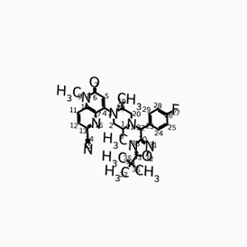 CC1CN(c2cc(=O)n(C)c3ccc(C#N)nc23)[C@@H](C)CN1C(c1ccc(F)cc1)c1noc(C(C)(C)C)n1